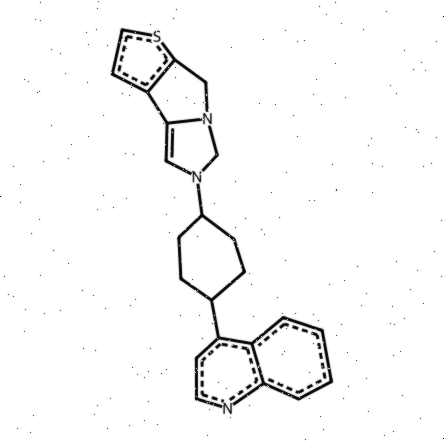 C1=C2c3ccsc3CN2CN1C1CCC(c2ccnc3ccccc23)CC1